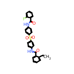 C=Cc1ccccc1C(=O)Nc1ccc(S(=O)(=O)c2ccc(NC(=O)c3ccccc3F)cc2)cc1